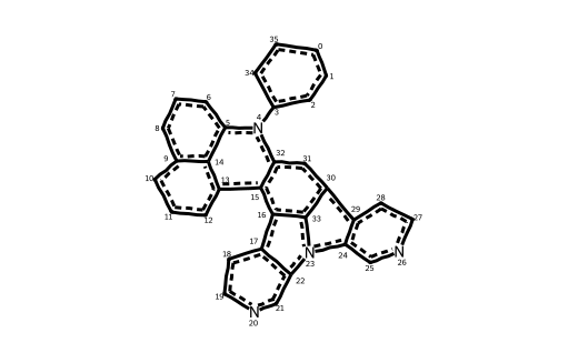 c1ccc(-n2c3cccc4cccc(c43)c3c4c5ccncc5n5c6cnccc6c(cc32)c45)cc1